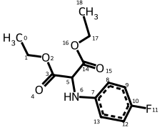 CCOC(=O)C(Nc1ccc(F)cc1)C(=O)OCC